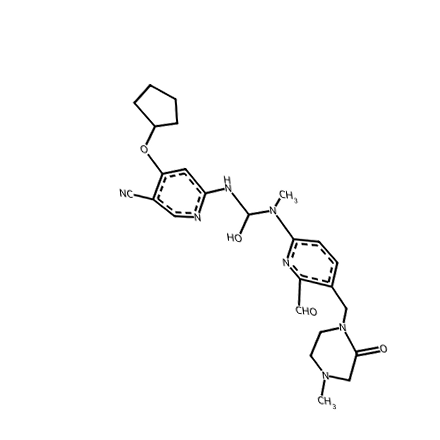 CN1CCN(Cc2ccc(N(C)C(O)Nc3cc(OC4CCCC4)c(C#N)cn3)nc2C=O)C(=O)C1